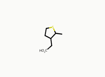 CC1SCCC1CC(=O)O